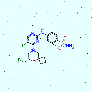 NS(=O)(=O)c1ccc(Nc2ncc(F)c(N3C[C@@H](CF)OC4(CCC4)C3)n2)cc1